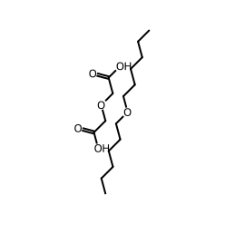 CCCCCCOCCCCCC.O=C(O)COCC(=O)O